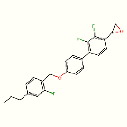 CCCc1ccc(COc2ccc(-c3ccc(C4CO4)c(F)c3F)cc2)c(F)c1